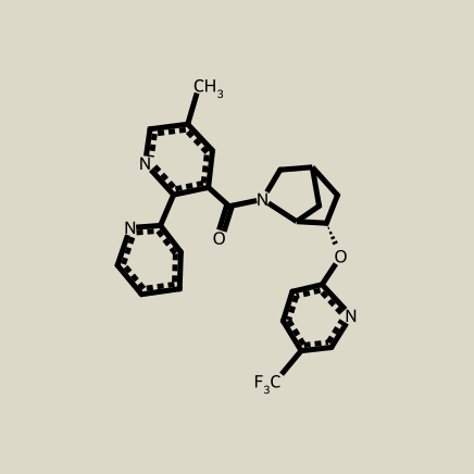 Cc1cnc(-c2ccccn2)c(C(=O)N2CC3CC2[C@@H](Oc2ccc(C(F)(F)F)cn2)C3)c1